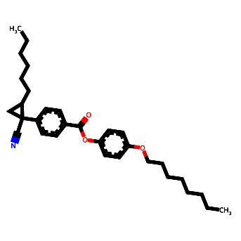 CCCCCCCCOc1ccc(OC(=O)c2ccc(C3(C#N)CC3CCCCCC)cc2)cc1